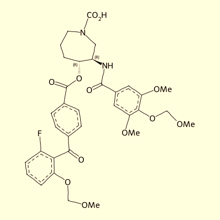 COCOc1cccc(F)c1C(=O)c1ccc(C(=O)O[C@@H]2CCCN(C(=O)O)C[C@H]2NC(=O)c2cc(OC)c(OCOC)c(OC)c2)cc1